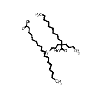 CCCCCCCCCCC(CCCC)(CCCC)C(=O)O.CCCCCCCCCCCCCCCCCC(=O)O